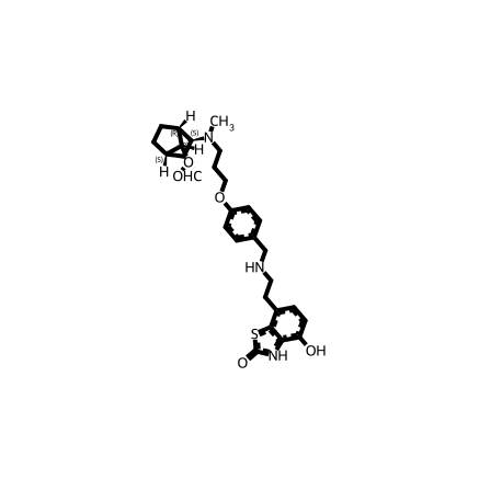 CN(CCCOc1ccc(CNCCc2ccc(O)c3[nH]c(=O)sc23)cc1)[C@H]1C[C@@H]2CC[C@H]1[C@@H]2OC=O